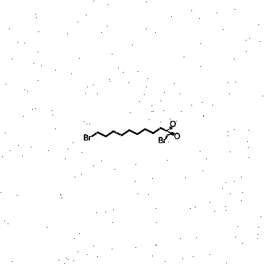 O=S(=O)(Br)CCCCCCCCCBr